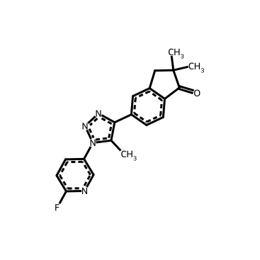 Cc1c(-c2ccc3c(c2)CC(C)(C)C3=O)nnn1-c1ccc(F)nc1